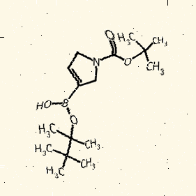 CC(C)(C)OC(=O)N1CC=C(B(O)OC(C)(C)C(C)(C)C)C1